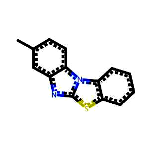 Cc1ccc2c(c1)nc1sc3ccccc3n12